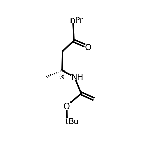 C=C(N[C@H](C)CC(=O)CCC)OC(C)(C)C